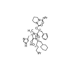 CCCC(=O)N1CCCCN1C(=O)O[C@@H](Cc1ccccc1)C(=O)N(C)[C@@H](Cc1c[nH]cn1)C(=O)N[C@@H](CC1CCCCC1)[C@@H](O)CCC(C)C